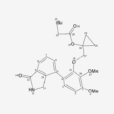 COc1ccc(-c2cccc3c2CNC3=O)c(OCC2(OC(=O)CC(C)(C)C)CC2)c1OC